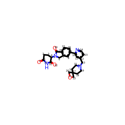 O=C1CCC(N2Cc3cc(-c4cc(CN5CCC6(CC5)COC6)ccn4)ccc3C2=O)C(=O)N1